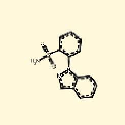 NS(=O)(=O)c1ccccc1-n1ncc2ccccc21